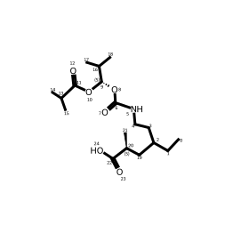 CCC(CCNC(=O)O[C@H](OC(=O)C(C)C)C(C)C)C[C@H](C)C(=O)O